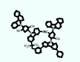 CC(C)(C)c1ccc2c(c1)c1cc(C(C)(C)Cc3cccc(-c4ccc5c(c4)c4cc(-c6ccccc6)ccc4n5-c4cc(C#N)c(-n5c6ccccc6c6c7ccccc7ccc65)cc4C#N)c3)ccc1n2-c1cc(C#N)c(-n2c3ccccc3c3c4ccccc4ccc32)cc1C#N